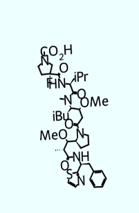 CC[C@H](C)[C@@H]([C@@H](CC(=O)N1CCC[C@H]1[C@H](OC)[C@@H](C)C(=O)N[C@@H](Cc1ccccc1)c1nccs1)OC)N(C)C(=O)[C@@H](NC(=O)[C@@]1(F)CCN(C(=O)O)C1)C(C)C